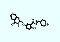 O=C(NCC1CCNCC1)c1cc(OCc2nc3cnccc3c(=O)[nH]2)ccc1Cl